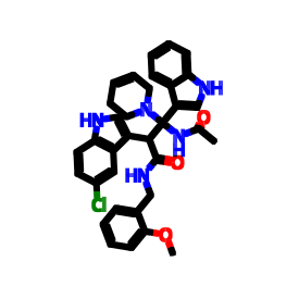 COc1ccccc1CNC(=O)C(c1c[nH]c2ccc(Cl)cc12)C(NC(C)=O)(c1c[nH]c2ccccc12)N1CC=CCC1